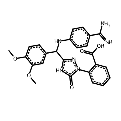 COc1ccc(C(Nc2ccc(C(=N)N)cc2)c2nn(-c3ccccc3C(=O)O)c(=O)[nH]2)cc1OC